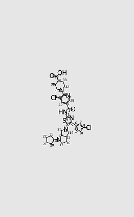 O=C(Nc1nc(-c2cc(Cl)cs2)c(N2CC3CCN(C4CCCC4)C3C2)s1)c1cnc(N2CCC(C(=O)O)CC2)c(Cl)c1